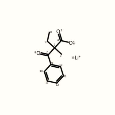 CCC(C)(C(=O)[O-])C(=O)c1ccccc1.[Li+]